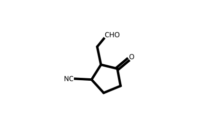 N#CC1CCC(=O)C1CC=O